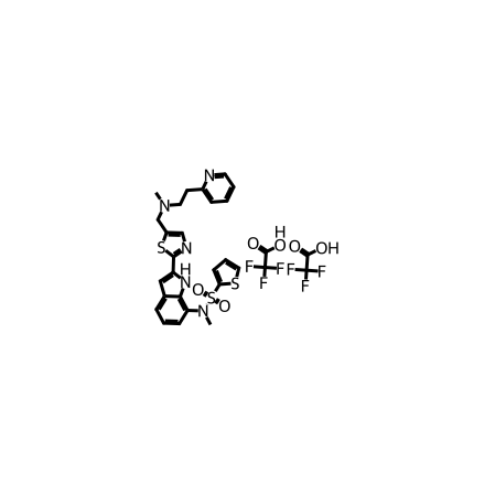 CN(CCc1ccccn1)Cc1cnc(-c2cc3cccc(N(C)S(=O)(=O)c4cccs4)c3[nH]2)s1.O=C(O)C(F)(F)F.O=C(O)C(F)(F)F